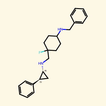 FC1(CN[C@@H]2C[C@H]2c2ccccc2)CCC(NCc2ccccc2)CC1